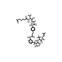 C/N=C(/NC(C(=O)N(C)CC=C(C)C)C(C)(C)C)C(NC)C(C)(C)c1cccc(NC(=O)CCc2ccc(NC(=O)C(C)NC(=O)[C@@H](NC(=O)CCCCC(C)=O)C(C)C)cc2)c1